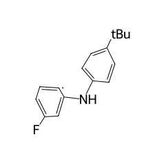 CC(C)(C)c1ccc(Nc2[c]ccc(F)c2)cc1